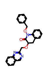 O=C1C(OCc2ncc3ccccc3n2)Cc2ccccc2N1OCc1ccccc1